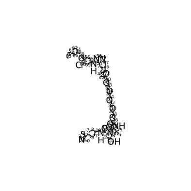 Cc1ncsc1-c1ccc(CNC(=O)[C@@H]2C[C@@H](O)CN2C(=O)C(NC(=O)COCCOCCOCCOCCOCc2ccc(-c3ccc4ncnc(Nc5ccc(OCc6cccc(F)c6)c(Cl)c5)c4c3)o2)C(C)(C)C)cc1